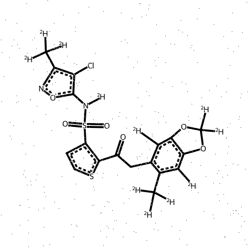 [2H]c1c(CC(=O)c2sccc2S(=O)(=O)N([2H])c2onc(C([2H])([2H])[2H])c2Cl)c(C([2H])([2H])[2H])c([2H])c2c1OC([2H])([2H])O2